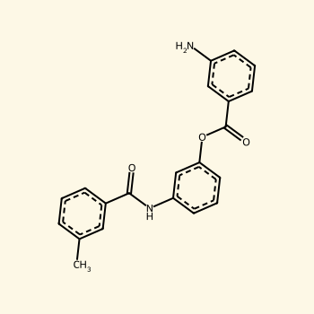 Cc1cccc(C(=O)Nc2cccc(OC(=O)c3cccc(N)c3)c2)c1